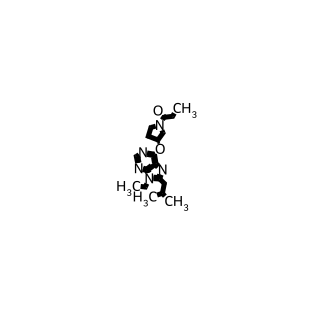 CCC(=O)N1CC[C@H](Oc2ncnc3c2nc(CC(C)C)n3CC)C1